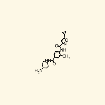 Cc1cc(C(=O)NC2CCC(N)CC2)ccc1NC(=O)c1cc(C2CC2)on1